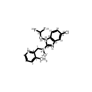 Cc1cccnc1C[S+]([O-])c1nc2cc(Cl)ccc2n1OC(F)F